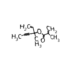 C=CC(C)(C#CC)OC(=O)C(=C)C